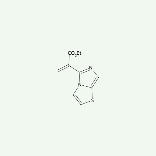 C=C(C(=O)OCC)c1ncc2sccn12